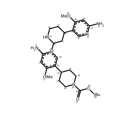 COc1cc(N)[n+](C2CC(c3cnc(N)cc3OC)CCN2)cc1C1CCN(C(=O)OC(C)(C)C)CC1